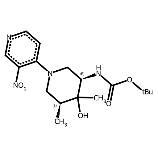 C[C@H]1CN(c2ccncc2[N+](=O)[O-])C[C@@H](NC(=O)OC(C)(C)C)C1(C)O